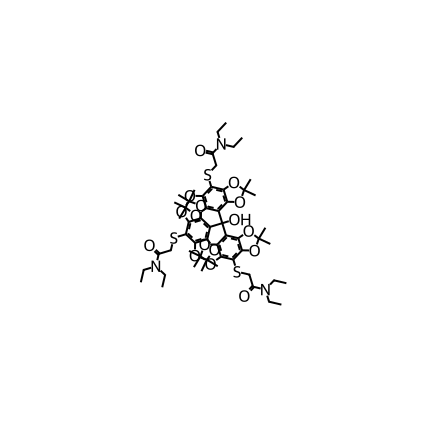 CCN(CC)C(=O)CSc1c2c(c(C(O)(c3c4c(c(SCC(=O)N(CC)CC)c5c3OC(C)(C)O5)OC(C)(C)O4)c3c4c(c(SCC(=O)N(CC)CC)c5c3OC(C)(C)O5)OC(C)(C)O4)c3c1OC(C)(C)O3)OC(C)(C)O2